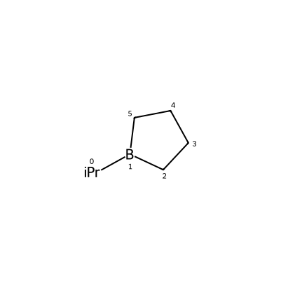 CC(C)B1CCCC1